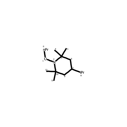 CCCON1C(C)(C)CC(C(C)C)CC1(C)C